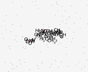 CC[C@H](C)[C@@H]([C@@H](CC(=O)N1CCC[C@H]1[C@H](OC)[C@@H](C)C(=O)N[C@@H](Cc1ccccc1)P(=O)(O)O)OC)N(C)C(=O)[C@@H](N=C(N(C)C)N1CCN(C(=O)CCCn2cc(CN3C(=O)C=CC3=O)nn2)CC1)C(C)C